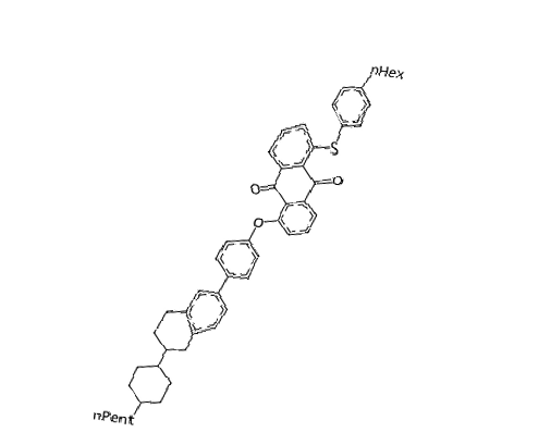 CCCCCCc1ccc(Sc2cccc3c2C(=O)c2cccc(Oc4ccc(-c5ccc6c(c5)CCC(C5CCC(CCCCC)CC5)C6)cc4)c2C3=O)cc1